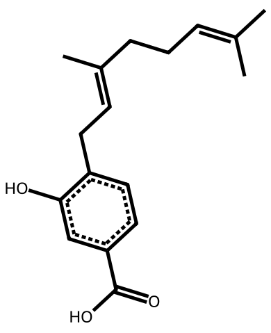 CC(C)=CCC/C(C)=C/Cc1ccc(C(=O)O)cc1O